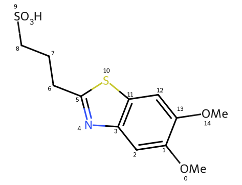 COc1cc2nc(CCCS(=O)(=O)O)sc2cc1OC